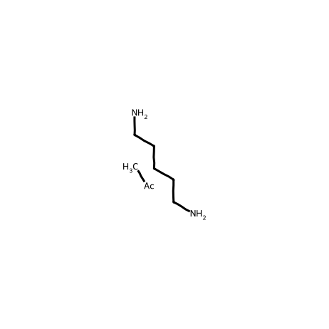 CC(C)=O.NCCCCCN